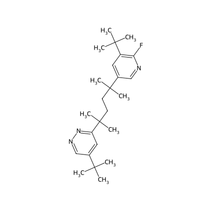 CC(C)(C)c1cnnc(C(C)(C)CCC(C)(C)c2cnc(F)c(C(C)(C)C)c2)c1